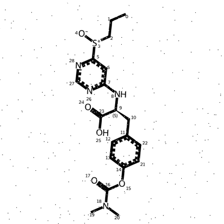 CCC[S+]([O-])c1cc(N[C@@H](Cc2ccc(OC(=O)N(C)C)cc2)C(=O)O)ncn1